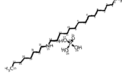 CCCCCCCCCCCCCCCNCCCCCCCC.O=P(O)(O)O